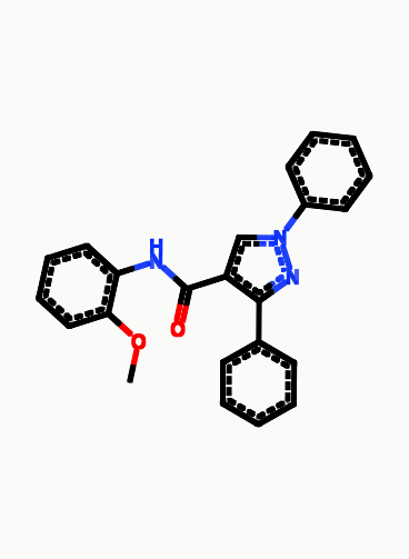 COc1ccccc1NC(=O)c1cn(-c2ccccc2)nc1-c1ccccc1